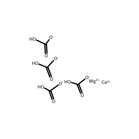 O=C([O-])O.O=C([O-])O.O=C([O-])O.O=C([O-])O.[Ca+2].[Mg+2]